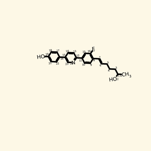 CC(O)CCC/C=C/c1ccc(-c2ccc(-c3ccc(O)cc3)cn2)cc1F